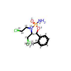 NP(=O)(OCc1ccccc1[N+](=O)[O-])N(CCCl)CCCl